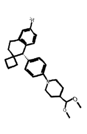 [2H]c1ccc2c(c1)CCC1(CCC1)[C@H]2c1ccc(N2CCC(C(OC)OC)CC2)cc1